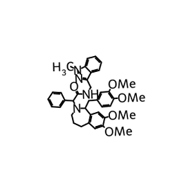 COc1ccc(CC2c3cc(OC)c(OC)cc3CCCN2C(C(=O)NCc2nn(C)c3ccccc23)c2ccccc2)cc1OC